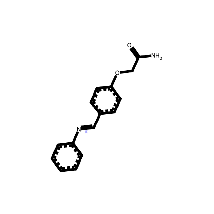 NC(=O)COc1ccc(/C=N/c2ccccc2)cc1